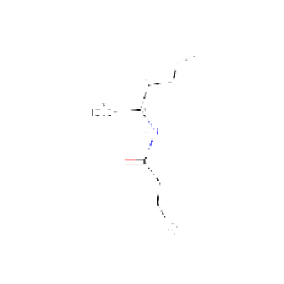 CSCCC(NC(=O)CCC#N)C(=O)O